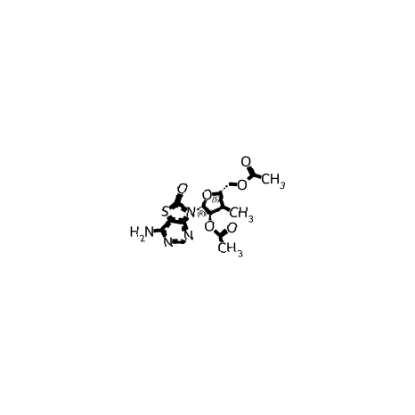 CC(=O)OC[C@H]1O[C@@H](n2c(=O)sc3c(N)ncnc32)[C@H](OC(C)=O)C1C